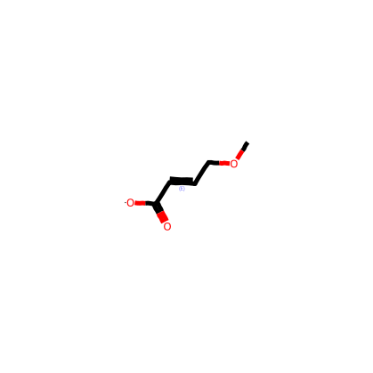 COC/C=C/C([O])=O